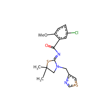 COc1ccc(Cl)cc1C(=O)/N=C1\SC(C)(C)CN1Cc1cscn1